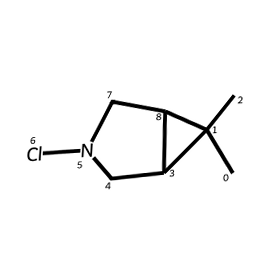 CC1(C)C2CN(Cl)CC21